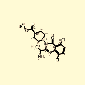 CC(N)c1nc2c(Cl)ccc(Cl)c2c(=O)n1N1CCN(C(=O)OC(C)(C)C)CC1